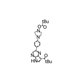 CC(C)(C)C(=O)ON1CCN(c2ccc(-c3cnc4[nH]cc(C(=O)C(C)(C)C)c4n3)cc2)CC1